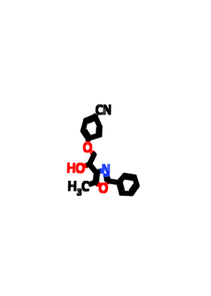 Cc1oc(-c2ccccc2)nc1C(O)COc1ccc(C#N)cc1